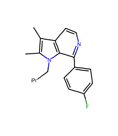 Cc1c(C)n(CC(C)C)c2c(-c3ccc(F)cc3)nccc12